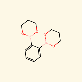 c1ccc(B2OCCCO2)c(B2OCCCO2)c1